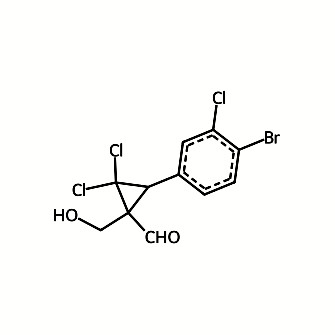 O=CC1(CO)C(c2ccc(Br)c(Cl)c2)C1(Cl)Cl